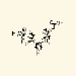 C[N+](C)(C)C.Cn1cc[nH+]c1.F[B-](F)(F)F.F[B-](F)(F)F.NCC(=O)O